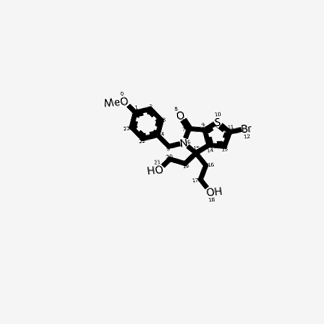 COc1ccc(CN2C(=O)c3sc(Br)cc3C2(CCO)CCO)cc1